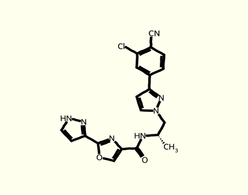 C[C@@H](Cn1ccc(-c2ccc(C#N)c(Cl)c2)n1)NC(=O)c1coc(-c2cc[nH]n2)n1